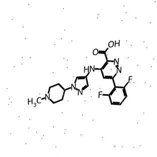 CN1CCC(n2cc(Nc3cc(-c4c(F)cccc4F)nnc3C(=O)O)cn2)CC1